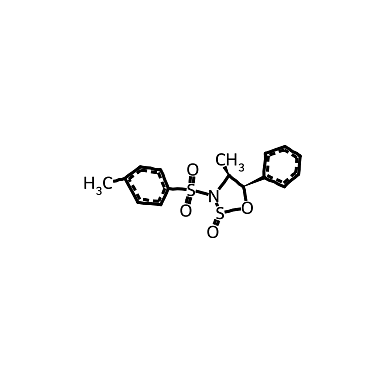 Cc1ccc(S(=O)(=O)N2[C@@H](C)[C@@H](c3ccccc3)OS2=O)cc1